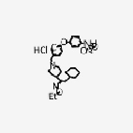 CCO/N=C(\CC1CCCCC1)C1CCN(Cc2ccc(Oc3ccc(NS(C)(=O)=O)cc3)cc2)CC1.Cl